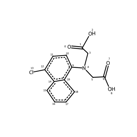 O=C(O)CN(CC(=O)O)c1ccc(Cl)c2ccccc12